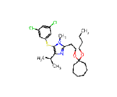 CCCCOC1(OCCc2nc(C(C)C)c(Sc3cc(Cl)cc(Cl)c3)n2C)CCCCCC1